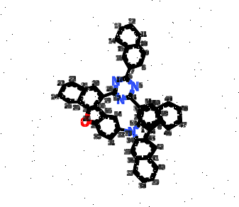 c1ccc(-c2nc(-c3ccc4ccccc4c3)nc(-c3cc4ccccc4c4oc5ccc(-n6c7cc8ccccc8cc7c7c8ccccc8ccc76)cc5c34)n2)cc1